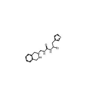 CCC(Cc1ccsc1)NC(=O)NC[C@@H]1Cc2ccccc2CN1